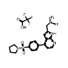 CCCN(CC)Cc1cc2c(-c3ccc(S(=O)(=O)N4CCCC4)cc3)ccnc2[nH]1.O=C(O)C(F)(F)F